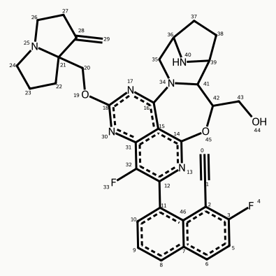 C#Cc1c(F)ccc2cccc(-c3nc4c5c(nc(OCC67CCCN6CCC7=C)nc5c3F)N3CC5CCC(N5)C3C(CO)O4)c12